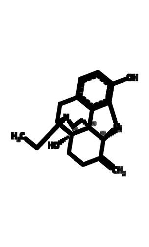 C=C1CC[C@@]2(O)C3Cc4ccc(O)c5c4[C@@]2(CCN3CC)[C@H]1O5